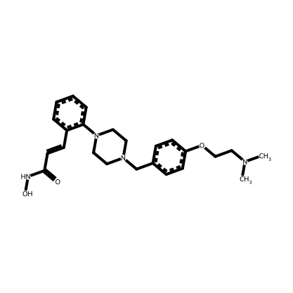 CN(C)CCOc1ccc(CN2CCN(c3ccccc3/C=C/C(=O)NO)CC2)cc1